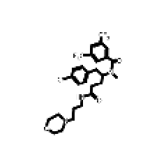 CN(C(=O)c1cc(C(F)(F)F)cc(C(F)(F)F)c1)C(CCC(=O)NCCCN1CCOCC1)Cc1ccc(Cl)cc1